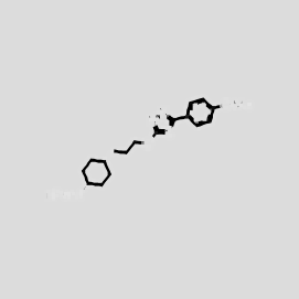 CCCCC[C@H]1CC[C@H](CCCOc2nnc(-c3ccc(OC)cc3)s2)CC1